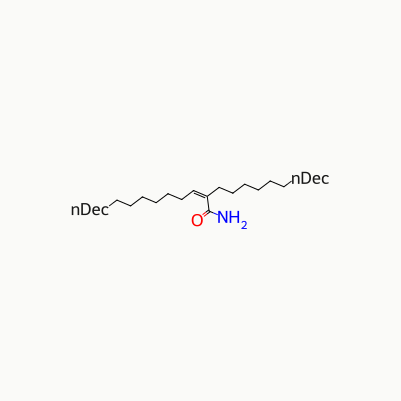 CCCCCCCCCCCCCCCCC=C(CCCCCCCCCCCCCCCC)C(N)=O